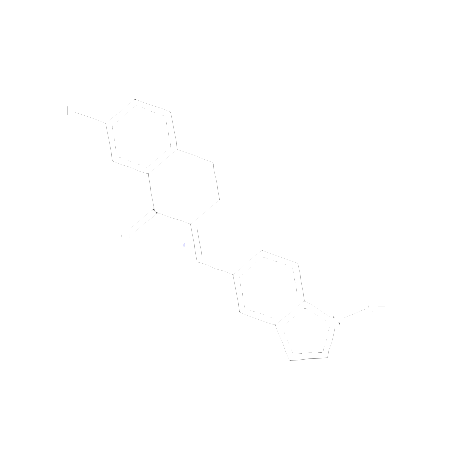 Cn1ccc2cc(/C=C3\CCc4ccc(F)cc4C3=O)ccc21